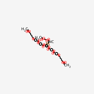 [C-]#[N+]C(C(=O)OCCOC(=O)C=C)=C1Sc2c(OC(=O)C3CCC(OC(=O)C4CCC(OCCCCCCOC(=O)C=C)CC4)CC3)ccc(OC(=O)C3CCC(OC(=O)C4CCC(OCCCCCCOC(=O)C=C)CC4)CC3)c2S1